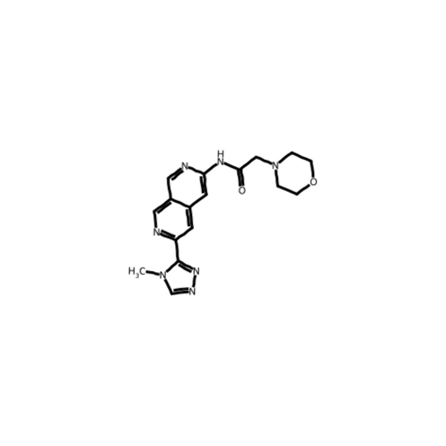 Cn1cnnc1-c1cc2cc(NC(=O)CN3CCOCC3)ncc2cn1